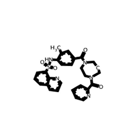 Cc1cc(C(=O)N2CCCN(C(=O)c3ccccn3)CC2)ccc1NS(=O)(=O)c1cccc2cccnc12